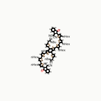 CCCCCCc1cc(-c2sc(C3C(=O)c4ccccc4C3=C(C#N)C#N)cc2CCCCCC)sc1-c1cc(CCCCCC)c(-c2cc3c(-c4ccc(CC(CC)CCCC)s4)c4sc(-c5sc(-c6sc(-c7sc(C8C(=O)c9ccccc9C8=C(C#N)C#N)cc7CCCCCC)cc6CCCCCC)cc5CCCCCC)cc4c(-c4ccc(CC(CC)CCCC)s4)c3s2)s1